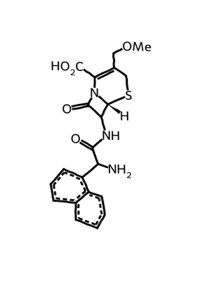 COCC1=C(C(=O)O)N2C(=O)C(NC(=O)C(N)c3cccc4ccccc34)[C@H]2SC1